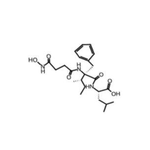 CC[C@H](C)[C@@](Cc1ccccc1)(NC(=O)CCC(=O)NO)C(=O)N[C@@H](CC(C)C)C(=O)O